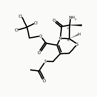 CC(=O)SCC1=C(C(=O)OCC(Cl)(Cl)Cl)N2C(=O)[C@](C)(N)[C@H]2SC1